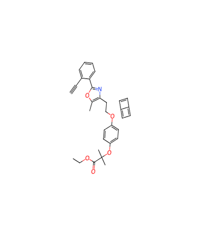 C#Cc1ccccc1-c1nc(CCOc2ccc(OC(C)(C)C(=O)OCC)cc2)c(C)o1.c1cc2ccc1-2